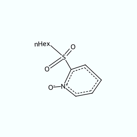 CCCCCCS(=O)(=O)c1cccc[n+]1[O-]